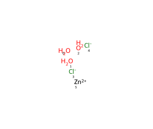 O.O.O.[Cl-].[Cl-].[Zn+2]